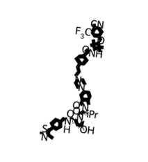 Cc1ncsc1-c1ccc(CNC(=O)[C@@H]2C[C@@H](O)CN2C(=O)[C@@H](C(C)C)N2Cc3ccc(N4CCN(CCCc5ccc(C(=O)N[C@H]6C(C)(C)[C@H](Oc7ccc(C#N)c(C(F)(F)F)c7)C6(C)C)cc5)CC4)cc3C2=O)cc1